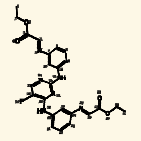 CCOC(=O)C=Nc1cccc(Nc2ncc(F)c(Nc3cccc(N=CC(=O)OCC)c3)n2)c1